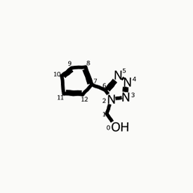 OCn1nnnc1-c1ccccc1